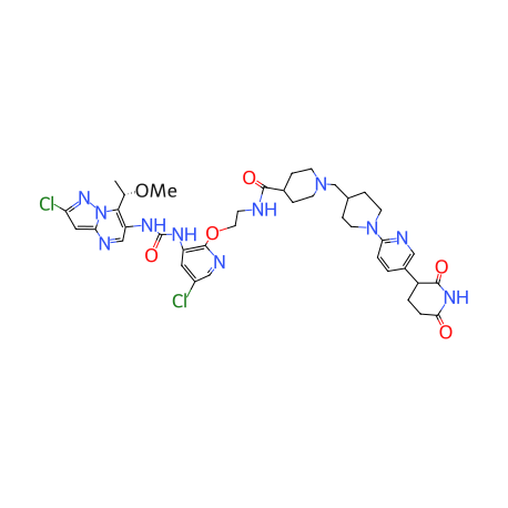 CO[C@@H](C)c1c(NC(=O)Nc2cc(Cl)cnc2OCCNC(=O)C2CCN(CC3CCN(c4ccc(C5CCC(=O)NC5=O)cn4)CC3)CC2)cnc2cc(Cl)nn12